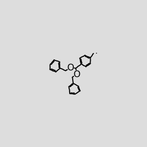 [CH2]c1ccc(C(OCc2ccccc2)OCc2ccccc2)cc1